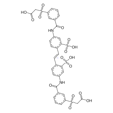 O=C(O)CS(=O)(=O)c1cccc(C(=O)Nc2ccc(/C=C/c3ccc(NC(=O)c4cccc(S(=O)(=O)CC(=O)O)c4)cc3S(=O)(=O)O)c(S(=O)(=O)O)c2)c1